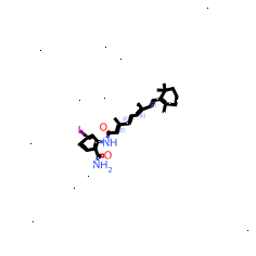 CC1=C(/C=C/C(C)=C/C=C/C(C)=C/C(=O)Nc2cc(I)ccc2C(N)=O)C(C)(C)CCC1